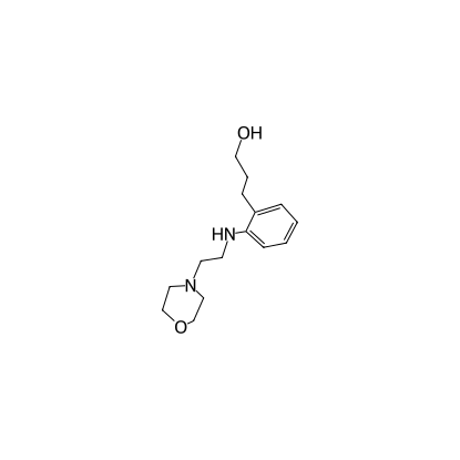 OCCCc1ccccc1NCCN1CCOCC1